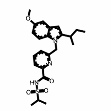 CCC(C)c1cc2cc(OC)ccc2n1Cc1cccc(C(=O)NS(=O)(=O)C(C)C)n1